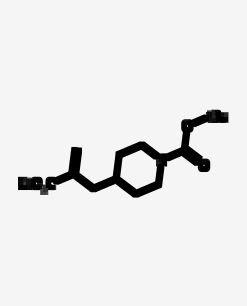 C=C(CC1CCN(C(=O)OC(C)(C)C)CC1)C(=O)OCC